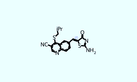 CC(C)CSc1c(C#N)cnc2ccc(/C=C3\SC(N)=NC3=O)cc12